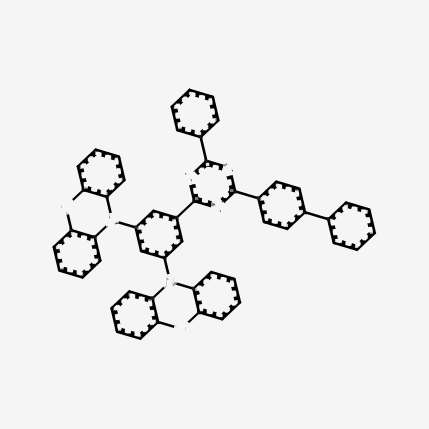 c1ccc(-c2ccc(-c3nc(-c4ccccc4)nc(-c4cc(N5c6ccccc6Oc6ccccc65)cc(N5c6ccccc6Oc6ccccc65)c4)n3)cc2)cc1